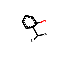 CCC(c1ccccc1O)C(C)C